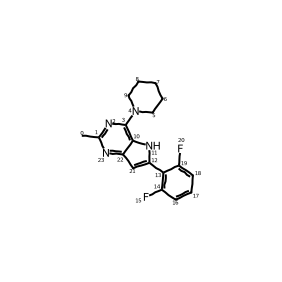 Cc1nc(N2CCCCC2)c2[nH]c(-c3c(F)cccc3F)cc2n1